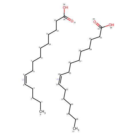 CCCC/C=C\CCCCCCCCC(=O)O.CCCCCC/C=C\CCCCCCCC(=O)O